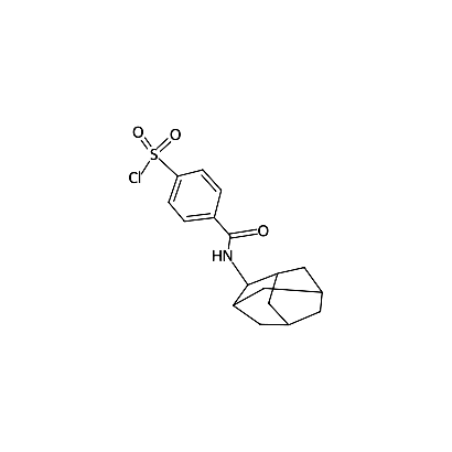 O=C(NC1C2CC3CC(C2)CC1C3)c1ccc(S(=O)(=O)Cl)cc1